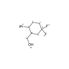 CC(C)C1CCC(F)(F)CC1CO